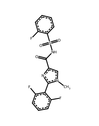 Cn1cc(C(=O)NS(=O)(=O)c2ccccc2F)nc1-c1c(F)cccc1F